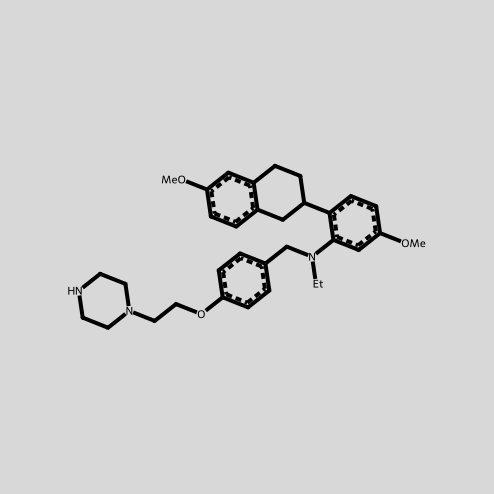 CCN(Cc1ccc(OCCN2CCNCC2)cc1)c1cc(OC)ccc1C1CCc2cc(OC)ccc2C1